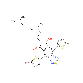 CC(C)CCCC(C)CCN1C(=O)c2c(c(-c3ccc(Br)s3)c3nsnc3c2-c2ccc(Br)s2)C1O